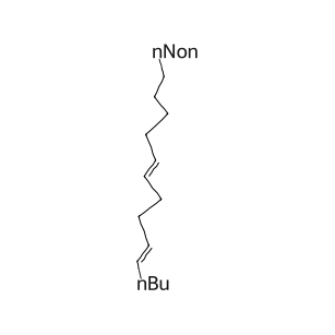 CCCCC=CCCC=CCCCCCCCCCCCCC